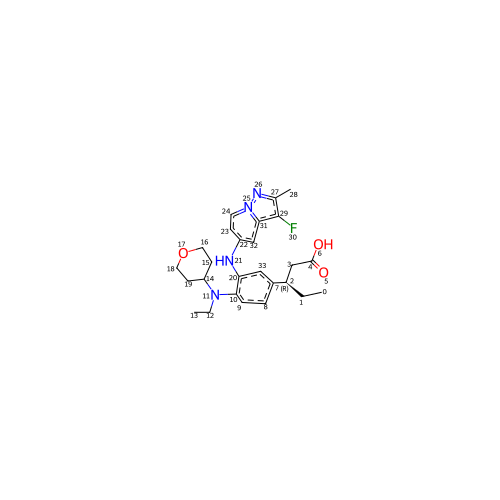 CC[C@H](CC(=O)O)c1ccc(N(CC)C2CCOCC2)c(Nc2ccn3nc(C)c(F)c3c2)c1